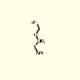 CCCCO[SiH2]SCCC